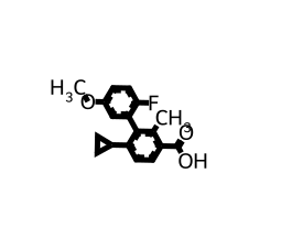 COc1ccc(F)c(-c2c(C3CC3)ccc(C(=O)O)c2C)c1